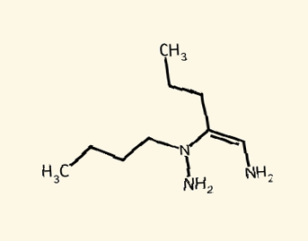 CCCCN(N)/C(=C\N)CCC